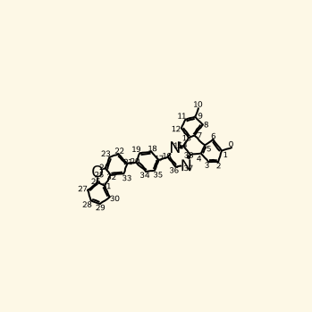 Cc1ccc2c(c1)c1cc(C)ccc1c1nc(-c3ccc(-c4ccc5oc6ccccc6c5c4)cc3)cnc21